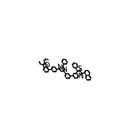 C=Cc1c(/C=C\C)oc2c(-c3ccc(-c4cc(-c5cccc(-c6ccc7nc(-c8cccc9ccccc89)c8sc9ccccc9c8c7c6)c5)nc(-c5ccccc5)n4)cc3)cccc12